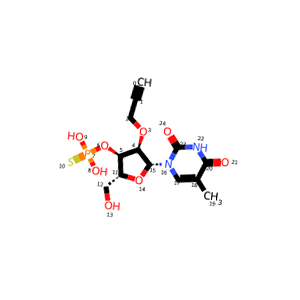 C#CCO[C@@H]1[C@H](OP(O)(O)=S)[C@@H](CO)O[C@H]1n1cc(C)c(=O)[nH]c1=O